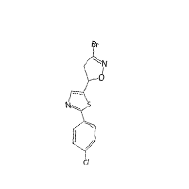 Clc1ccc(-c2ncc(C3CC(Br)=NO3)s2)cc1